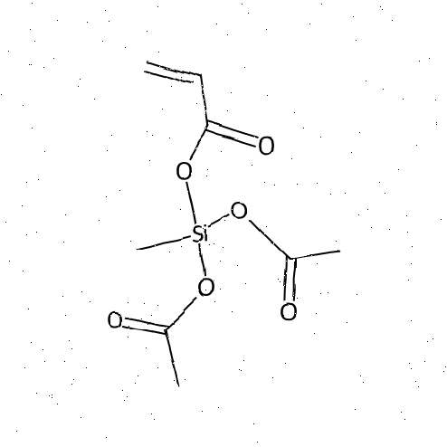 C=CC(=O)O[Si](C)(OC(C)=O)OC(C)=O